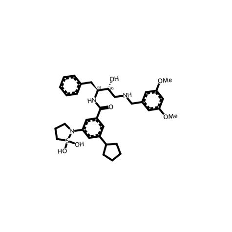 COc1cc(CNC[C@@H](O)[C@H](Cc2ccccc2)NC(=O)c2cc(C3CCCC3)cc(N3CCCS3(O)O)c2)cc(OC)c1